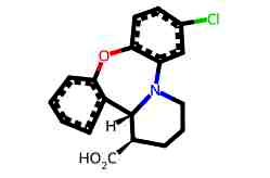 O=C(O)[C@@H]1CCCN2c3cc(Cl)ccc3Oc3ccccc3[C@@H]12